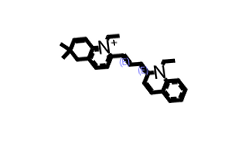 CCN1/C(=C/C=C/c2ccc3c([n+]2CC)C=CC(C)(C)C3)C=Cc2ccccc21